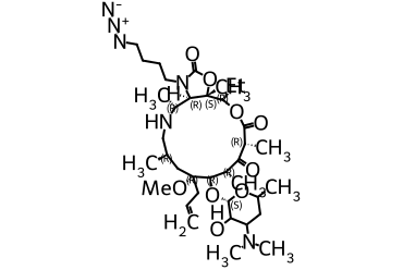 C=CC[C@@]1(OC)C[C@@H](C)CN[C@H](C)[C@H]2N(CCCCN=[N+]=[N-])C(=O)O[C@]2(C)[C@@H](CC)OC(=O)[C@H](C)C(=O)[C@H](C)[C@H]1O[C@@H]1OC(C)CC(N(C)C)C1O